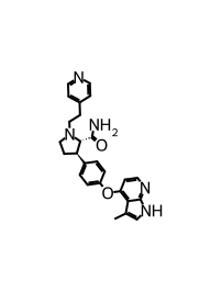 Cc1c[nH]c2nccc(Oc3ccc([C@H]4CCN(CCc5ccncc5)[C@@H]4C(N)=O)cc3)c12